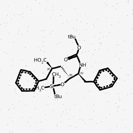 CC(C)(C)OC(=O)N[C@@H](Cc1ccccc1)[C@@H](C[C@@H](Cc1ccccc1)C(=O)O)O[Si](C)(C)C(C)(C)C